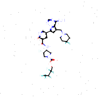 COc1ncc(-c2cc(CN3CCC(F)(F)CC3)c3c(N)ncnn23)cc1C(=O)N[C@@H]1CN(C(=O)OCC(F)(F)C(F)C(F)(F)F)C[C@@H]1F